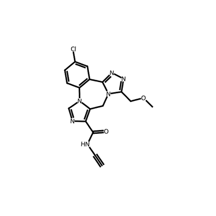 C#CNC(=O)c1ncn2c1Cn1c(COC)nnc1-c1cc(Cl)ccc1-2